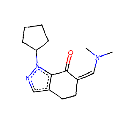 CN(C)/C=C1/CCc2cnn(C3CCCC3)c2C1=O